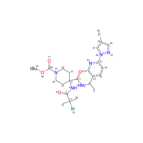 CC(NC(=O)C1(NC(=O)C(C)(C)Br)CCN(C(=O)OC(C)(C)C)CC1)c1ccc(-n2cc(F)cn2)nc1